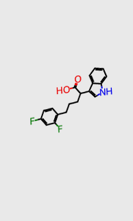 O=C(O)C(CCCc1ccc(F)cc1F)c1c[nH]c2ccccc12